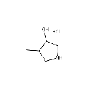 CC1CNCC1O.Cl